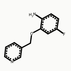 Nc1ccc(F)cc1OCc1cccnc1